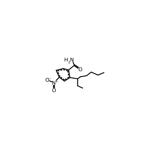 CCCCCC(CC)c1cc([N+](=O)[O-])ccc1C(N)=O